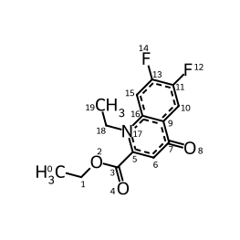 CCOC(=O)c1cc(=O)c2cc(F)c(F)cc2n1CC